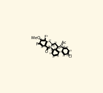 COc1c(F)cc(C(=O)N2c3ccccc3[C@H](N(C(C)=O)c3ccc(Cl)cc3)C[C@@H]2C)cc1F